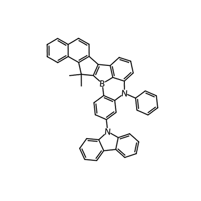 CC1(C)C2=C(c3cccc4c3B2c2ccc(-n3c5ccccc5c5ccccc53)cc2N4c2ccccc2)c2ccc3ccccc3c21